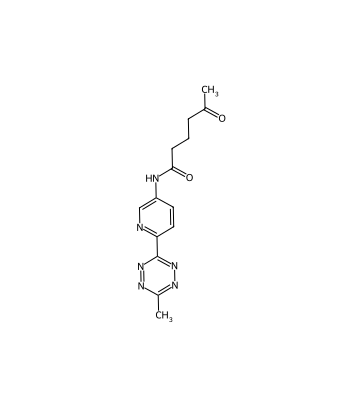 CC(=O)CCCC(=O)Nc1ccc(-c2nnc(C)nn2)nc1